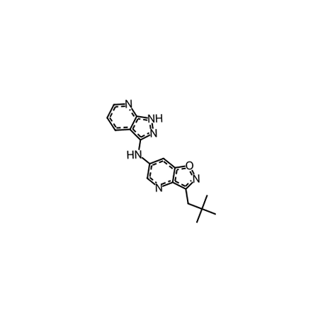 CC(C)(C)Cc1noc2cc(Nc3n[nH]c4ncccc34)cnc12